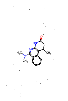 CC1CC(=O)Nc2nc(N(C)C)c3ccccc3c21